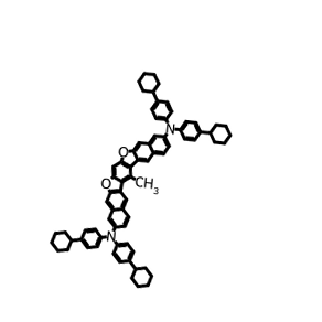 Cc1c2c(cc3oc4cc5cc(N(c6ccc(C7CCCCC7)cc6)c6ccc(C7CCCCC7)cc6)ccc5cc4c13)oc1cc3cc(N(c4ccc(C5CCCCC5)cc4)c4ccc(C5CCCCC5)cc4)ccc3cc12